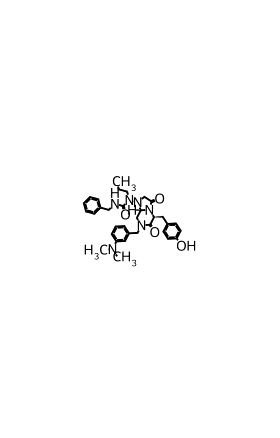 CCCN(C(=O)NCc1ccccc1)N1CC(=O)N2[C@@H](Cc3ccc(O)cc3)C(=O)N(Cc3cccc(N(C)C)c3)C[C@@H]21